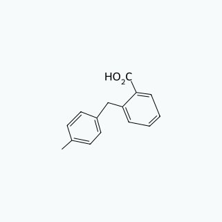 Cc1ccc(Cc2ccccc2C(=O)O)cc1